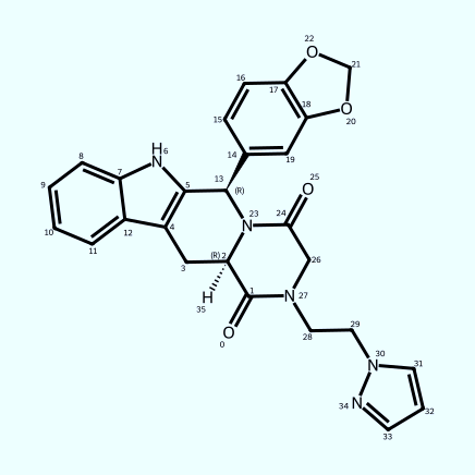 O=C1[C@H]2Cc3c([nH]c4ccccc34)[C@@H](c3ccc4c(c3)OCO4)N2C(=O)CN1CCn1cccn1